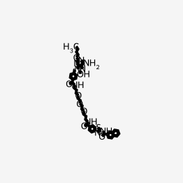 CCCCOc1nc(N)c2nc(O)n(Cc3ccc(C(=O)NCCCOCCOCCOCCCNC(=O)c4ccc5nc(NC(=O)c6ccc7ccccc7c6)sc5c4)cc3)c2n1